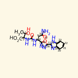 CC(O)C(NC(=O)N[C@@H](CC(N)=O)c1nnc(-c2nc3ccccc3[nH]2)o1)C(=O)O